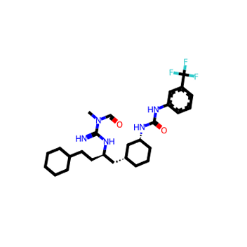 CN(C=O)C(=N)N[C@H](CCC1CCCCC1)C[C@H]1CCC[C@@H](NC(=O)Nc2cccc(C(F)(F)F)c2)C1